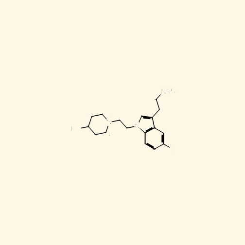 CNCCc1cn(CCN2CCC(C)CC2)c2ccc(Cl)cc12